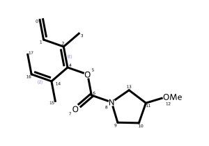 C=C/C(C)=C(OC(=O)N1CCC(OC)C1)\C(C)=C/C